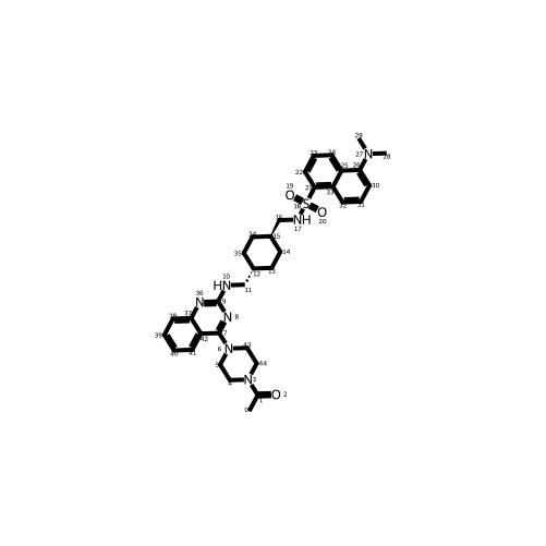 CC(=O)N1CCN(c2nc(NC[C@H]3CC[C@H](CNS(=O)(=O)c4cccc5c(N(C)C)cccc45)CC3)nc3ccccc23)CC1